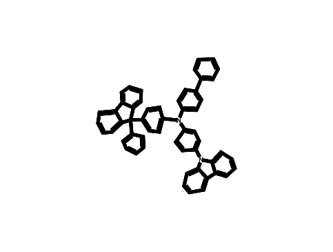 c1ccc(-c2ccc(N(c3ccc(-n4c5ccccc5c5ccccc54)cc3)c3ccc(C4(c5ccccc5)c5ccccc5-c5ccccc54)cc3)cc2)cc1